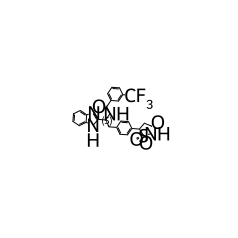 O=C1CC(c2ccc(C[C@H](NC(=O)c3cccc(C(F)(F)F)c3)c3nc4ccccc4[nH]3)cc2)S(=O)(=O)N1